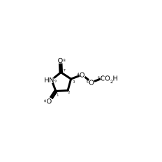 O=C1CC(OOC(=O)O)C(=O)N1